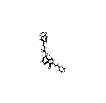 O=C(CCc1ccc2c(c1)OCO2)Nc1cccc2c(=O)n(CCN3CCOCC3)ccc12